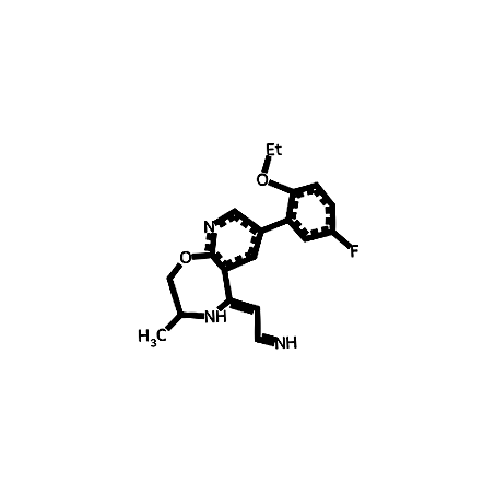 CCOc1ccc(F)cc1-c1cnc2c(c1)/C(=C/C=N)NC(C)CO2